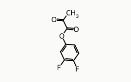 CC(=O)C(=O)Oc1ccc(F)c(F)c1